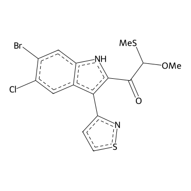 COC(SC)C(=O)c1[nH]c2cc(Br)c(Cl)cc2c1-c1ccsn1